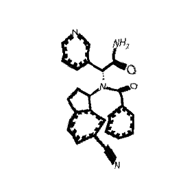 N#Cc1ccc2c(c1)[C@H](N(C(=O)c1ccccc1)[C@@H](C(N)=O)c1cccnc1)CC2